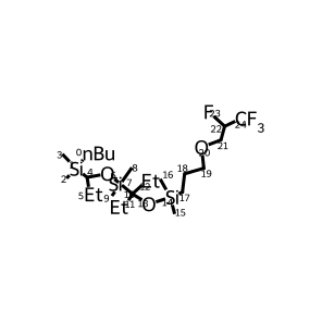 CCCC[Si](C)(C)C(CC)O[Si](C)(C)C(CC)(CC)O[Si](C)(C)CCCOCC(F)C(F)(F)F